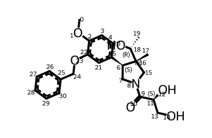 COc1ccc([C@@H]2CN(C(=O)[C@@H](O)CO)C[C@@]2(C)[C@@H](C)O)cc1OCc1ccccc1